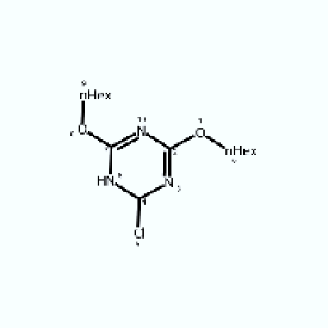 CCCCCCOC1=NC(Cl)NC(OCCCCCC)=N1